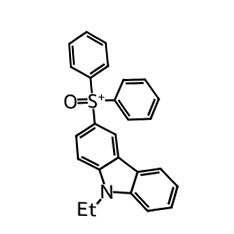 CCn1c2ccccc2c2cc([S+](=O)(c3ccccc3)c3ccccc3)ccc21